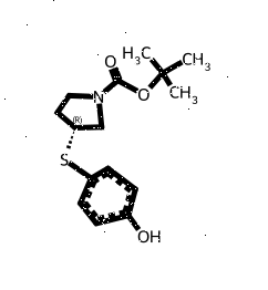 CC(C)(C)OC(=O)N1CC[C@@H](Sc2ccc(O)cc2)C1